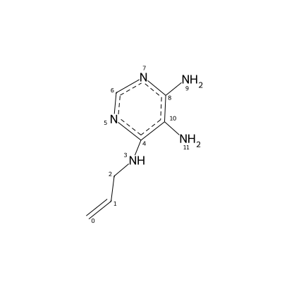 C=CCNc1ncnc(N)c1N